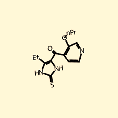 CCCOc1cnccc1C(=O)c1[nH]c(=S)[nH]c1CC